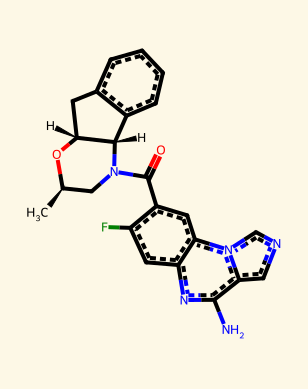 C[C@@H]1CN(C(=O)c2cc3c(cc2F)nc(N)c2cncn23)[C@H]2c3ccccc3C[C@H]2O1